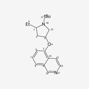 CCC1CC(Oc2cccc3cnccc23)CN1C(C)(C)C